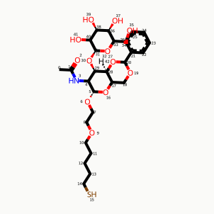 CC(=O)NC1[C@@H](OCCOCCCCCS)OC2COC(c3ccccc3)O[C@@H]2[C@@H]1O[C@@H]1OC(CO)[C@H](O)[C@H](O)C1O